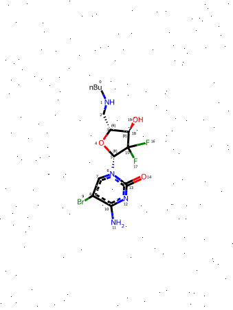 CCCCNC[C@H]1O[C@@H](n2cc(Br)c(N)nc2=O)C(F)(F)[C@@H]1O